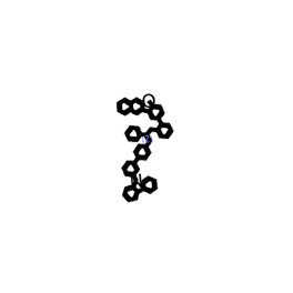 C(=C(\Cc1ccccc1-c1ccc2oc3cc4ccccc4cc3c2c1)c1ccccc1)/c1ccc(-c2cccc(-n3c4ccccc4c4ccccc43)c2)cc1